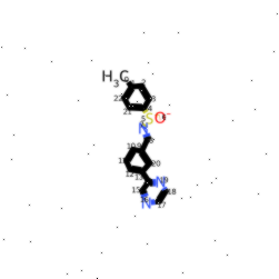 Cc1ccc([S+]([O-])/N=C/c2cccc(-c3cnccn3)c2)cc1